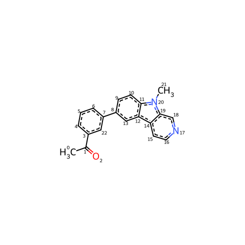 CC(=O)c1cccc(-c2ccc3c(c2)c2ccncc2n3C)c1